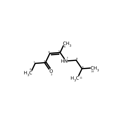 CCC(=O)C=C(C)NCC(C)C